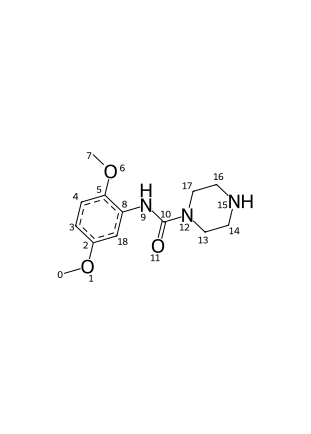 COc1ccc(OC)c(NC(=O)N2CCNCC2)c1